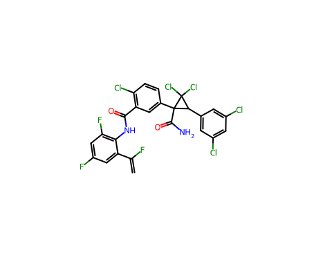 C=C(F)c1cc(F)cc(F)c1NC(=O)c1cc(C2(C(N)=O)C(c3cc(Cl)cc(Cl)c3)C2(Cl)Cl)ccc1Cl